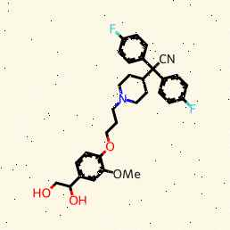 COc1cc(C(O)CO)ccc1OCCCN1CCC(C(C#N)(c2ccc(F)cc2)c2ccc(F)cc2)CC1